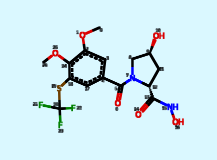 COc1cc(C(=O)N2C[C@@H](O)C[C@@H]2C(=O)NO)cc(SC(F)(F)F)c1OC